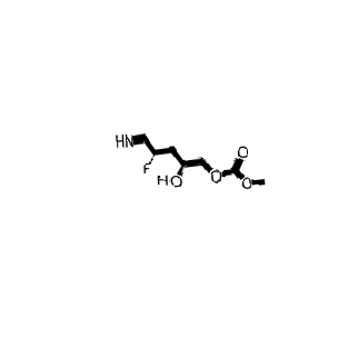 COC(=O)OC[C@@H](O)C[C@H](F)C=N